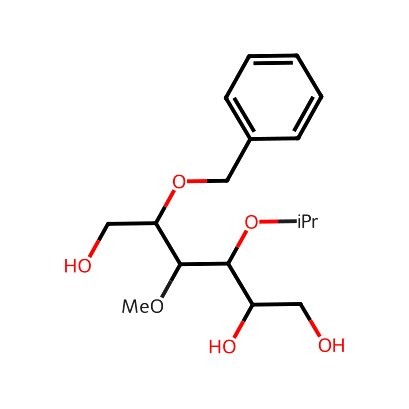 COC(C(CO)OCc1ccccc1)C(OC(C)C)C(O)CO